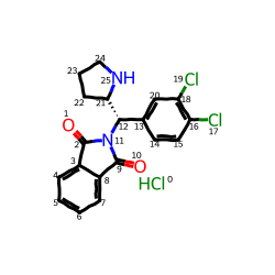 Cl.O=C1c2ccccc2C(=O)N1[C@@H](c1ccc(Cl)c(Cl)c1)C1CCCN1